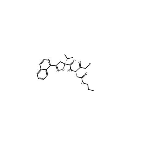 CCCOC(=O)C[C@H](NC(=O)[C@]1(C(C)C)CC(c2nccc3ccccc23)=NO1)C(=O)CF